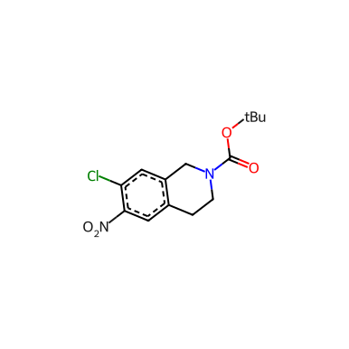 CC(C)(C)OC(=O)N1CCc2cc([N+](=O)[O-])c(Cl)cc2C1